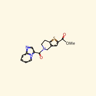 COC(=O)c1cc2c(s1)CCN(C(=O)c1cnc3ccccn13)C2